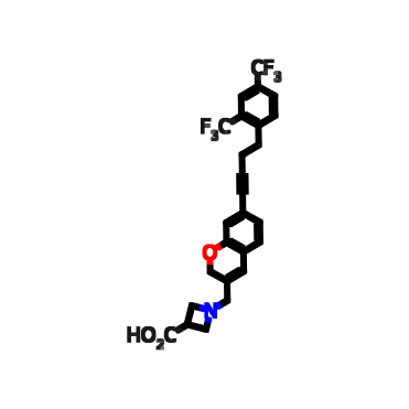 O=C(O)C1CN(CC2=Cc3ccc(C#CCCc4ccc(C(F)(F)F)cc4C(F)(F)F)cc3OC2)C1